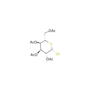 CC(=O)OC[C@@H]1S[C@H](S)[C@H](OC(C)=O)[C@@H](OC(C)=O)[C@H]1OC(C)=O